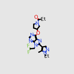 CCC(=O)N1CCC(Oc2ncnc3c2nc(-c2cnn(CC)c2C)n3CC(F)F)C1